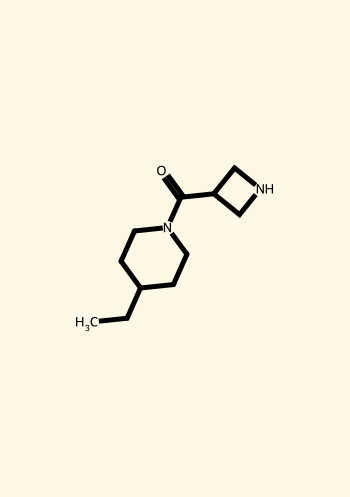 CCC1CCN(C(=O)C2CNC2)CC1